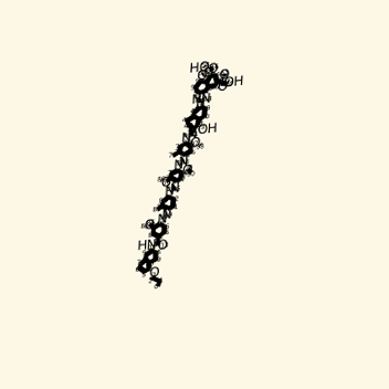 CCCOc1cccc2cc(NC(=O)c3ccc(N=Nc4ccc(N=Nc5cc(OC)c(N=Nc6cc(OC)c(N=Nc7ccc8cc(-n9nc%10ccc%11c(S(=O)(=O)O)cc(S(=O)(=O)O)cc%11c%10n9)ccc8c7O)cc6C)cc5OC)cc4C)c(OC)c3)ccc12